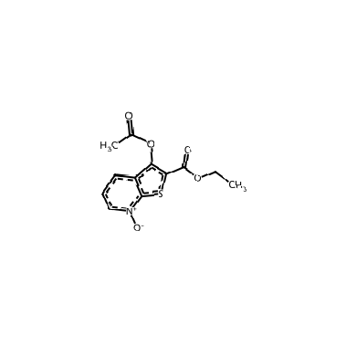 CCOC(=O)c1sc2c(ccc[n+]2[O-])c1OC(C)=O